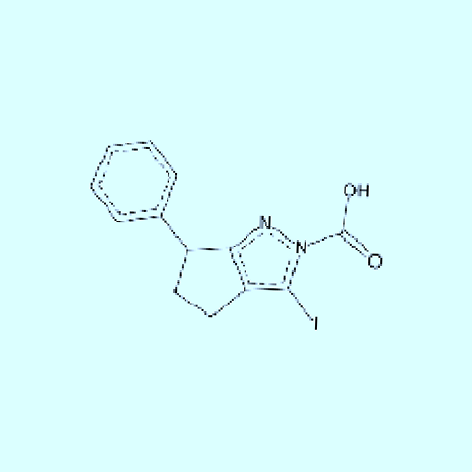 O=C(O)n1nc2c(c1I)CCC2c1ccccc1